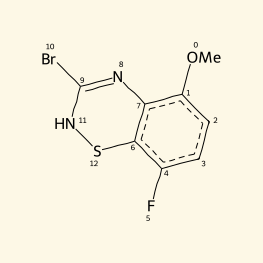 COc1ccc(F)c2c1N=C(Br)NS2